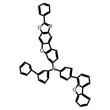 c1ccc(-c2cccc(N(c3ccc(-c4cccc5c4oc4ccccc45)cc3)c3ccc4c(c3)oc3cc5oc(-c6ccccc6)nc5cc34)c2)cc1